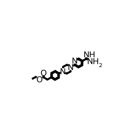 CCOC(=O)Cc1ccc(N2CCN(c3ccc(C(=N)N)cn3)CC2)cc1